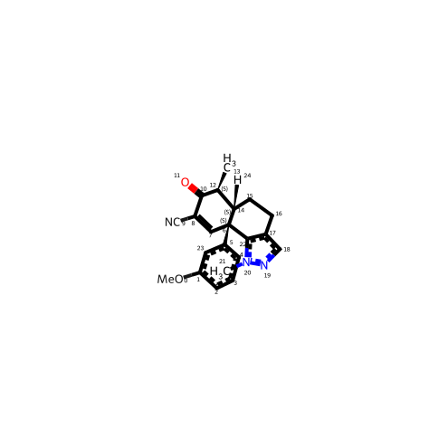 COc1cccc([C@@]23C=C(C#N)C(=O)[C@@H](C)[C@@H]2CCc2cnn(C)c23)c1